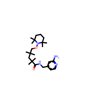 CC(C)(CON1C(C)(C)CCCC1(C)C)CC(C)(C)C(=O)NCc1ccnc(N)c1